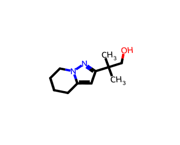 CC(C)(CO)c1cc2n(n1)CCCC2